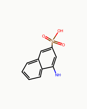 [NH]c1cc(S(=O)(=O)O)cc2ccccc12